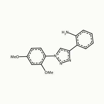 COc1ccc(-n2cc(-c3ccccc3N)nn2)c(OC)c1